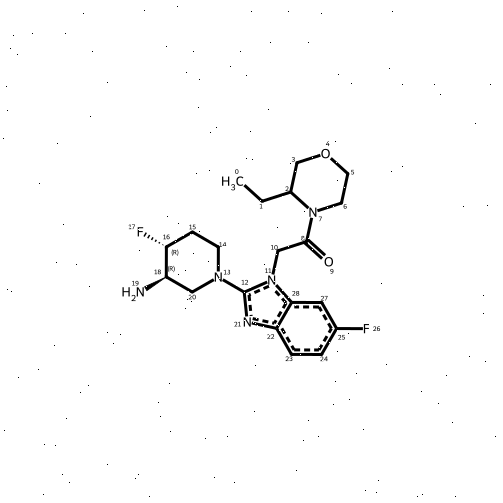 CCC1COCCN1C(=O)Cn1c(N2CC[C@@H](F)[C@H](N)C2)nc2ccc(F)cc21